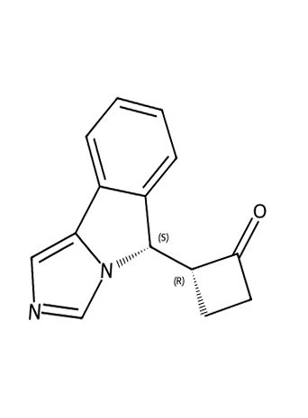 O=C1CC[C@@H]1[C@H]1c2ccccc2-c2cncn21